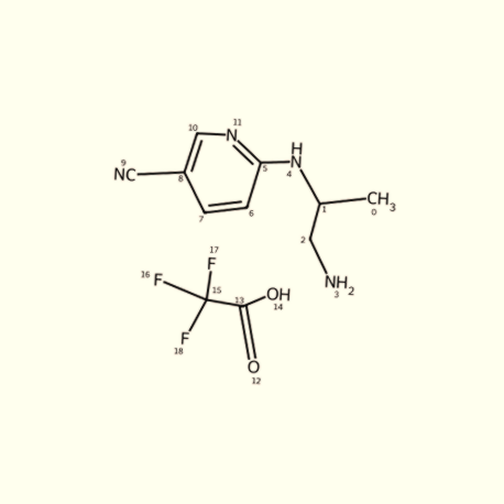 CC(CN)Nc1ccc(C#N)cn1.O=C(O)C(F)(F)F